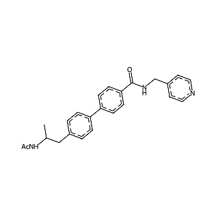 CC(=O)NC(C)Cc1ccc(-c2ccc(C(=O)NCc3ccncc3)cc2)cc1